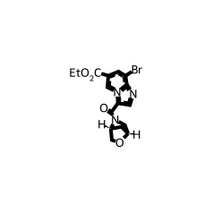 CCOC(=O)c1cc(Br)c2ncc(C(=O)N3C[C@@H]4C[C@H]3CO4)n2c1